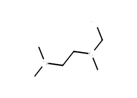 CC(=O)CN(C)CCN(C)C